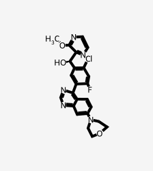 COc1nccnc1[C@H](O)c1cc(-c2ncnc3cc(N4CCOCC4)ccc23)c(F)cc1Cl